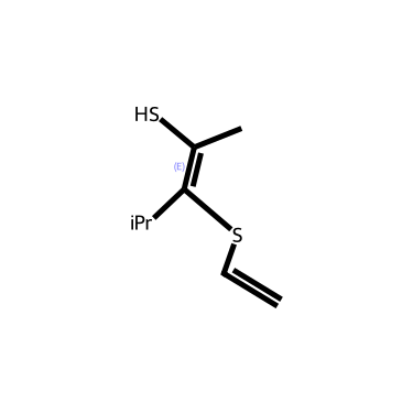 C=CS/C(=C(\C)S)C(C)C